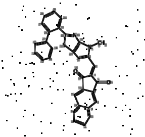 Cn1c(C=C2C(=O)c3cc4ccccc4cc3C2=O)cc2sc(-c3ccccc3-c3ccccc3)nc21